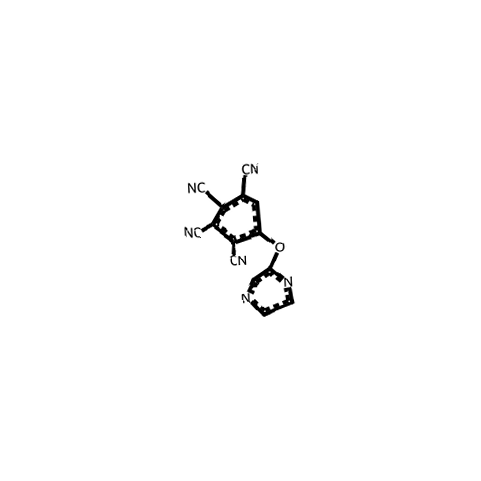 N#Cc1cc(Oc2cnccn2)c(C#N)c(C#N)c1C#N